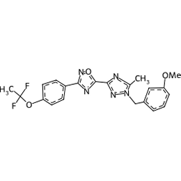 COc1cccc(Cn2nc(-c3nc(-c4ccc(OC(C)(F)F)cc4)no3)nc2C)c1